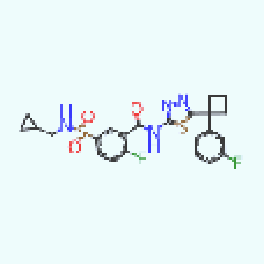 O=C(Nc1nnc(C2(c3cccc(F)c3)CCC2)s1)c1cc(S(=O)(=O)NCC2CC2)ccc1F